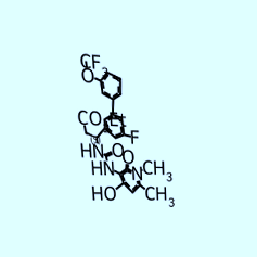 CCOC(=O)C[C@H](NC(=O)Nc1c(O)cc(C)n(C)c1=O)c1cc(F)cc(-c2cccc(OC(F)(F)F)c2)c1